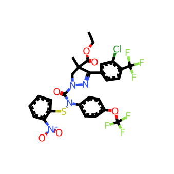 CCOC(=O)C1(C)CN(C(=O)N(Sc2ccccc2[N+](=O)[O-])c2ccc(OC(F)(F)F)cc2)N=C1c1ccc(C(F)(F)F)c(Cl)c1